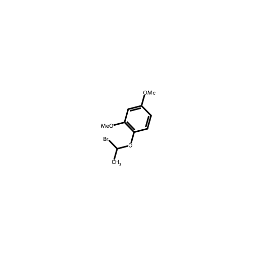 COc1ccc(OC(C)Br)c(OC)c1